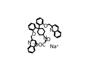 O=C([O-])C1ON1C1CCC(c2ccccc2OCc2ccc3ccccc3n2)(c2ccccc2OCc2ccc3ccccc3n2)CC1.[Na+]